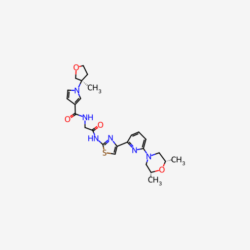 C[C@@H]1CN(c2cccc(-c3csc(NC(=O)CNC(=O)c4ccn([C@]5(C)CCOC5)c4)n3)n2)C[C@H](C)O1